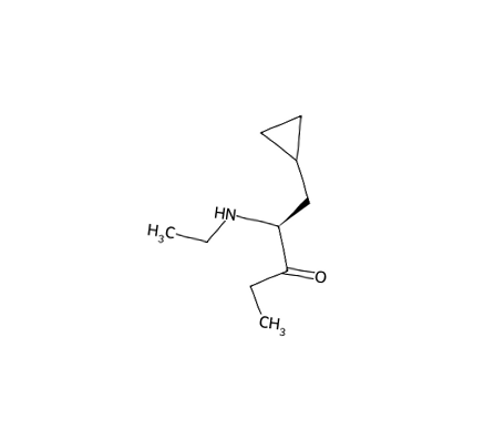 CCN[C@@H](CC1CC1)C(=O)CC